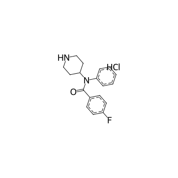 Cl.O=C(c1ccc(F)cc1)N(c1ccccc1)C1CCNCC1